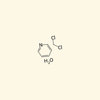 ClCCl.O.c1ccncc1